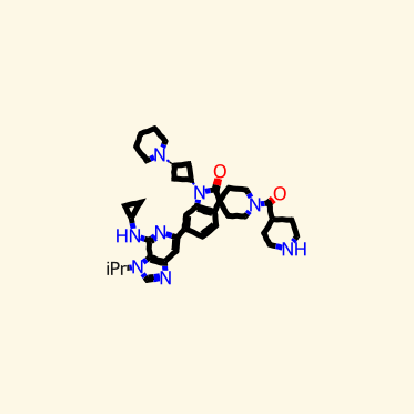 CC(C)n1cnc2cc(-c3ccc4c(c3)N([C@H]3C[C@@H](N5CCCCC5)C3)C(=O)C43CCN(C(=O)C4CCNCC4)CC3)nc(NC3CC3)c21